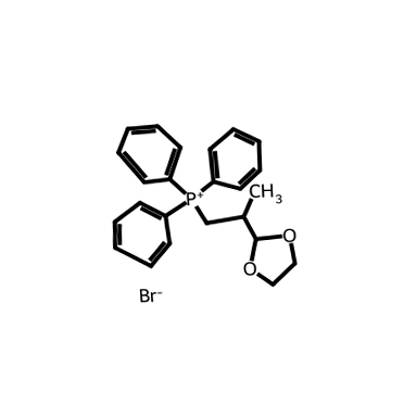 CC(C[P+](c1ccccc1)(c1ccccc1)c1ccccc1)C1OCCO1.[Br-]